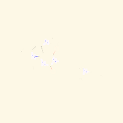 Cc1cc(N(C)C)c2c(=O)n(CCCC[C@@H](C)N(C)C)c(=O)n(C)c2n1